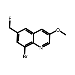 COc1cnc2c(Br)cc(CF)cc2c1